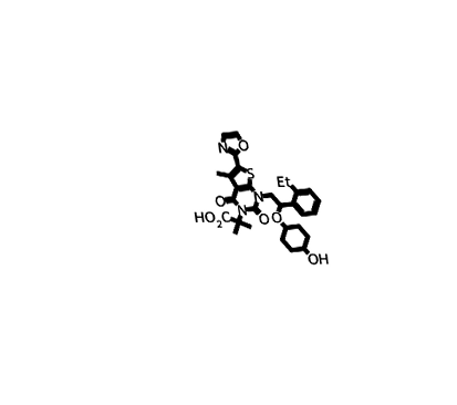 CCc1ccccc1C(Cn1c(=O)n(C(C)(C)C(=O)O)c(=O)c2c(C)c(-c3ncco3)sc21)OC1CCC(O)CC1